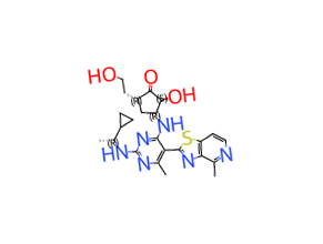 Cc1nc(N[C@H](C)C2CC2)nc(N[C@@H]2C[C@H](CCO)C(=O)[C@H]2O)c1-c1nc2c(C)nccc2s1